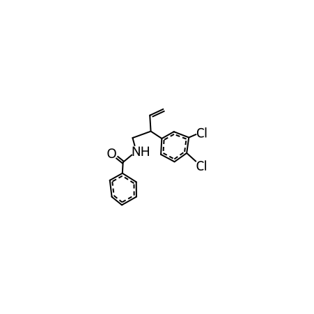 C=CC(CNC(=O)c1ccccc1)c1ccc(Cl)c(Cl)c1